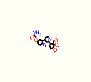 COc1ccc(-c2nccc3c4cc(OCC(N)=O)ccc4n(C)c23)c(C=O)c1OC